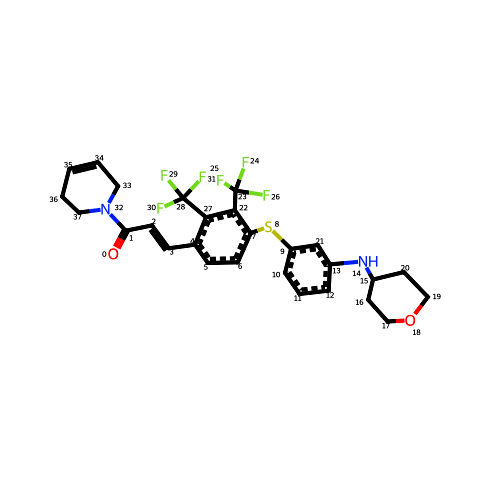 O=C(/C=C/c1ccc(Sc2cccc(NC3CCOCC3)c2)c(C(F)(F)F)c1C(F)(F)F)N1CC=CCC1